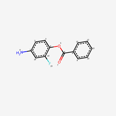 Nc1ccc(OC(=O)c2ccccc2)c(F)c1